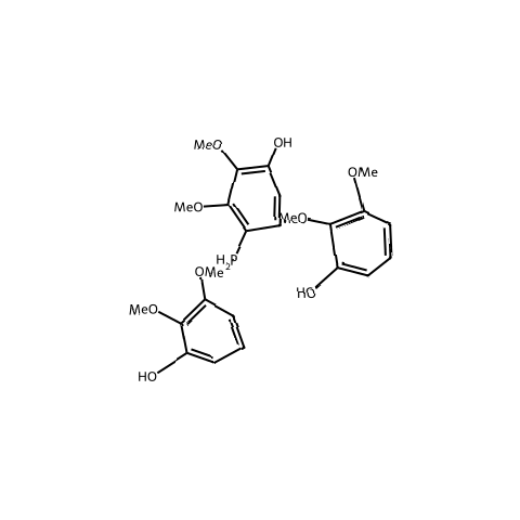 COc1c(O)ccc(P)c1OC.COc1cccc(O)c1OC.COc1cccc(O)c1OC